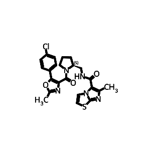 Cc1nc(C(=O)N2CCC[C@H]2CNC(=O)c2c(C)nc3sccn23)c(-c2ccc(Cl)cc2)o1